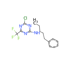 CCC(CCc1ccccc1)Nc1nc(Cl)nc(C(F)(F)F)n1